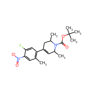 Cc1cc([N+](=O)[O-])c(F)cc1C1=CC(C)N(C(=O)OC(C)(C)C)C(C)C1